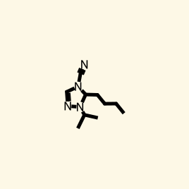 CCCCC1N(C#N)C=NN1C(C)C